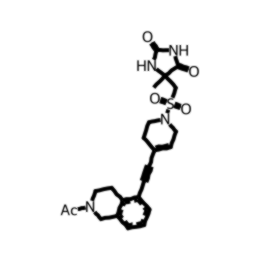 CC(=O)N1CCc2c(C#CC3=CCN(S(=O)(=O)CC4(C)NC(=O)NC4=O)CC3)cccc2C1